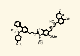 COc1cc(NC(=O)OCCc2ccc(-c3ccccc3)c(N(C(=O)O)C3CCC(N)CC3)c2)c(Cl)cc1CNC[C@H](O)c1ccc(O)c2[nH]c(=O)ccc12.Cl.Cl